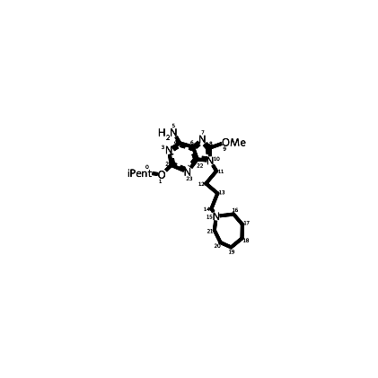 CCCC(C)Oc1nc(N)c2nc(OC)n(CCCCN3CCCCCC3)c2n1